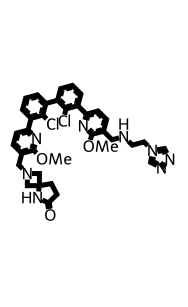 COc1nc(-c2cccc(-c3cccc(-c4ccc(CN5CC6(CCC(=O)N6)C5)c(OC)n4)c3Cl)c2Cl)ccc1CNCCn1cnnc1